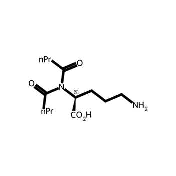 CCCC(=O)N(C(=O)CCC)[C@@H](CCCN)C(=O)O